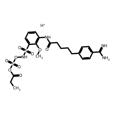 CCC(=O)OS(=O)(=O)ONS(=O)(=O)c1cccc(NC(=O)CCCCc2ccc(C(=N)N)cc2)c1OC.[H+]